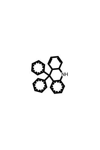 C1=CC2Nc3ccccc3C(c3ccccc3)(c3ccccc3)C2C=C1